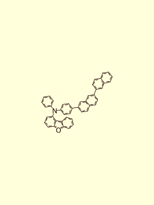 c1ccc(N(c2ccc(-c3ccc4ccc(-c5ccc6ccccc6c5)cc4c3)cc2)c2cccc3oc4ccccc4c23)cc1